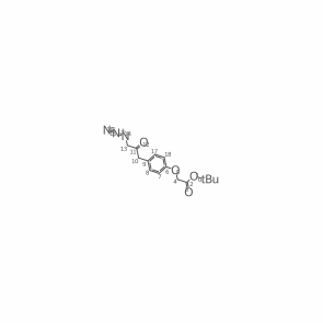 CC(C)(C)OC(=O)COc1ccc(CC(=O)CN=[N+]=[N-])cc1